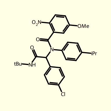 COc1ccc([N+](=O)[O-])c(C(=O)N(c2ccc(C(C)C)cc2)C(C(=O)NC(C)(C)C)c2ccc(Cl)cc2)c1